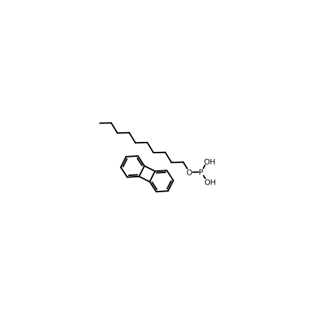 CCCCCCCCCCOP(O)O.c1ccc2c(c1)-c1ccccc1-2